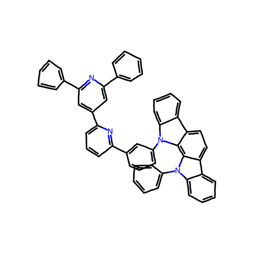 c1ccc(-c2cc(-c3cccc(-c4cccc(-n5c6ccccc6c6ccc7c8ccccc8n(-c8ccccc8)c7c65)c4)n3)cc(-c3ccccc3)n2)cc1